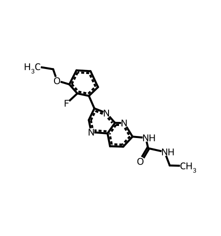 CCNC(=O)Nc1ccc2ncc(-c3cccc(OCC)c3F)nc2n1